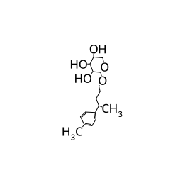 Cc1ccc(C(C)CCCOC2OCC(O)C(O)C2O)cc1